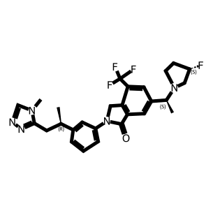 C[C@H](Cc1nncn1C)c1cccc(N2Cc3c(cc([C@H](C)N4CC[C@H](F)C4)cc3C(F)(F)F)C2=O)c1